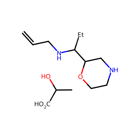 C=CCNC(CC)C1CNCCO1.CC(O)C(=O)O